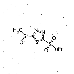 CCCS(=O)(=O)c1nnc([S+](C)[O-])s1